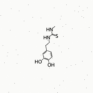 CNC(=S)NCCc1ccc(O)c(O)c1